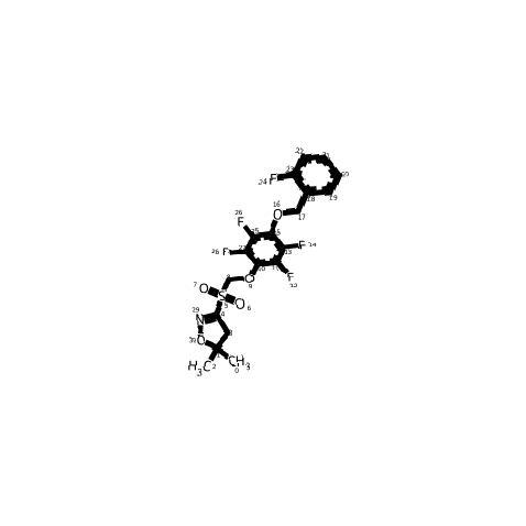 CC1(C)CC(S(=O)(=O)COc2c(F)c(F)c(OCc3ccccc3F)c(F)c2F)=NO1